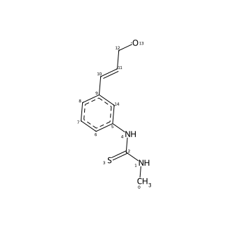 CNC(=S)Nc1cccc(/C=C/C[O])c1